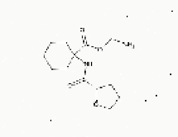 CCOC(=O)C1(NC(=O)[C@@H]2CCCO2)CCCCC1